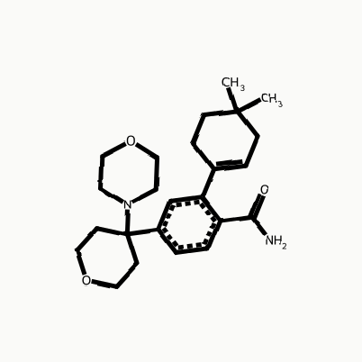 CC1(C)CC=C(c2cc(C3(N4CCOCC4)CCOCC3)ccc2C(N)=O)CC1